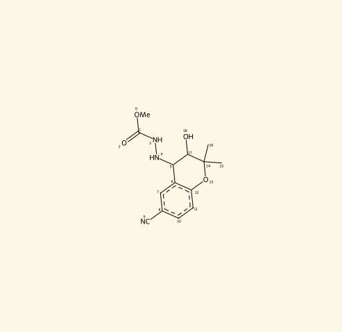 COC(=O)NNC1c2cc(C#N)ccc2OC(C)(C)C1O